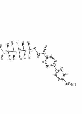 CCCCCc1ccc(-c2ccc(C(=O)OCC(F)(F)C(F)(F)C(F)(F)C(F)(F)C(F)(F)C(F)F)cc2)nc1